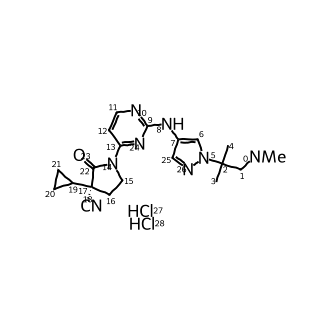 CNCC(C)(C)n1cc(Nc2nccc(N3CC[C@@](C#N)(C4CC4)C3=O)n2)cn1.Cl.Cl